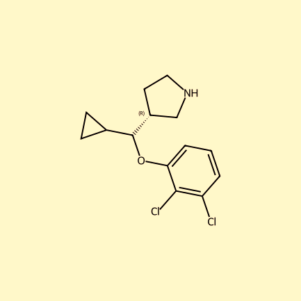 Clc1cccc(OC(C2CC2)[C@@H]2CCNC2)c1Cl